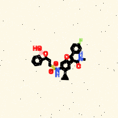 CNC(=O)c1c(-c2ccc(F)cc2)oc2cc(NS(=O)(=O)CCC3OB(O)c4ccccc43)c(C3CC3)cc12